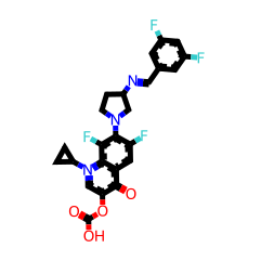 O=C(O)Oc1cn(C2CC2)c2c(F)c(N3CCC(N=Cc4cc(F)cc(F)c4)C3)c(F)cc2c1=O